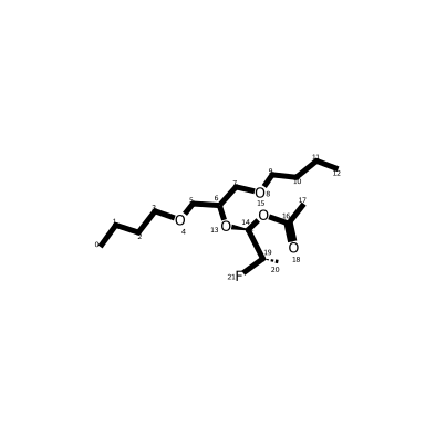 CCCCOCC(COCCCC)O[C@@H](OC(C)=O)[C@H](C)F